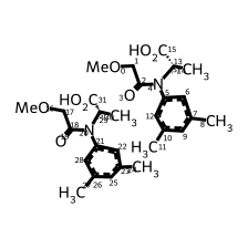 COCC(=O)N(c1cc(C)cc(C)c1)[C@@H](C)C(=O)O.COCC(=O)N(c1cc(C)cc(C)c1)[C@@H](C)C(=O)O